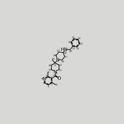 Cc1ccnc(C)c1C(=O)N1CCC(C)(N2CCC(NCc3ccccc3)CC2)CC1